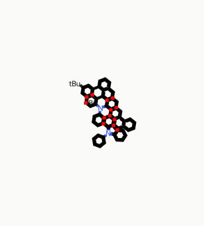 CC(C)(C)c1cc(-c2cccc3cccc(-c4ccccc4N(c4ccccc4-c4ccc5c(c4)c4ccccc4n5-c4ccccc4)c4ccccc4-c4cccc5c4ccc4ccccc45)c23)cc(C(C)(C)C)c1